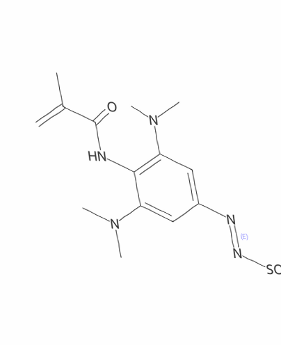 C=C(C)C(=O)Nc1c(N(C)C)cc(/N=N/S(=O)(=O)O)cc1N(C)C